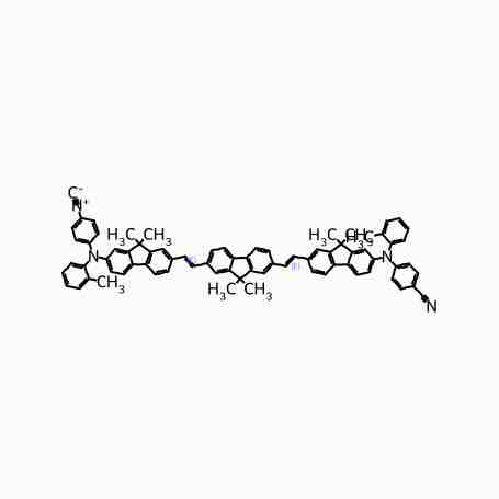 [C-]#[N+]c1ccc(N(c2ccc3c(c2)C(C)(C)c2cc(/C=C/c4ccc5c(c4)C(C)(C)c4cc(/C=C/c6ccc7c(c6)C(C)(C)c6cc(N(c8ccc(C#N)cc8)c8ccccc8C)ccc6-7)ccc4-5)ccc2-3)c2ccccc2C)cc1